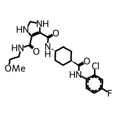 COCCNC(=O)C1=C(C(=O)N[C@H]2CC[C@H](C(=O)Nc3ccc(F)cc3Cl)CC2)NCN1